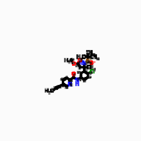 CC#Cc1ccc(C(=O)Nc2ccc(Cl)c([C@](C)(CC(=O)OC)N[S@+]([O-])C(C)(C)C)c2)nc1